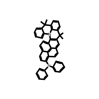 CC1(C)c2ccccc2N2c3c1cccc3C(C)(C)c1cc3ccc4c(N(c5ccccc5)c5ccccc5)ccc5ccc(c12)c3c54